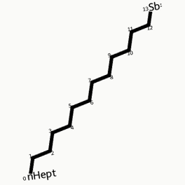 CCCCCCCCCCCCCCCCCC[CH2][Sb]